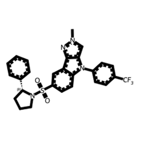 Cn1cc2c(n1)c1cc(S(=O)(=O)N3CCC[C@@H]3c3ccccc3)ccc1n2-c1ccc(C(F)(F)F)cc1